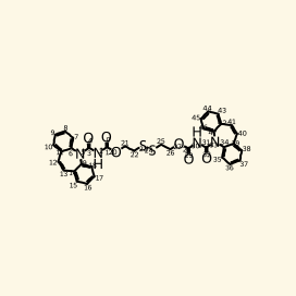 O=C(NC(=O)N1c2ccccc2C=Cc2ccccc21)OCCSSCCOC(=O)NC(=O)N1c2ccccc2C=Cc2ccccc21